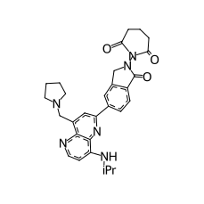 CC(C)Nc1ccnc2c(CN3CCCC3)cc(-c3ccc4c(c3)CN(N3C(=O)CCCC3=O)C4=O)nc12